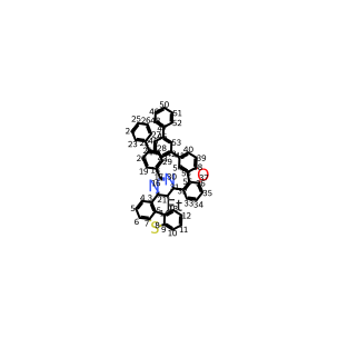 CCC1C(c2cccc3sc4ccccc4c23)=NC(c2ccc(-c3ccccc3)cc2)=NC1c1cccc2oc3ccc(-c4cccc(-c5ccccc5)c4)cc3c12